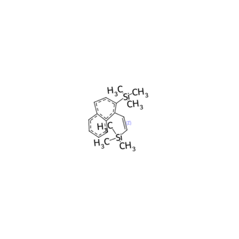 C[Si](C)(C)/C=C\c1c([Si](C)(C)C)ccc2ccccc12